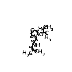 CC(=O)N(C)C[C@@H]1CN(CCNCC(C)C)CCO1